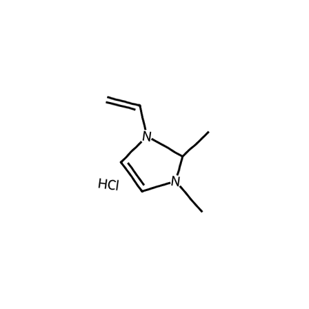 C=CN1C=CN(C)C1C.Cl